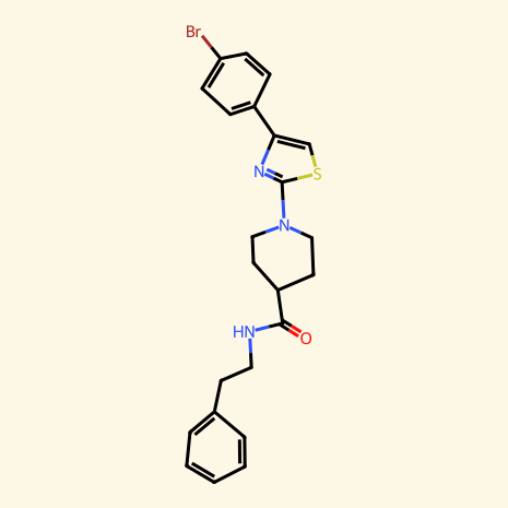 O=C(NCCc1ccccc1)C1CCN(c2nc(-c3ccc(Br)cc3)cs2)CC1